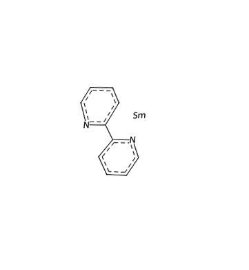 [Sm].c1ccc(-c2ccccn2)nc1